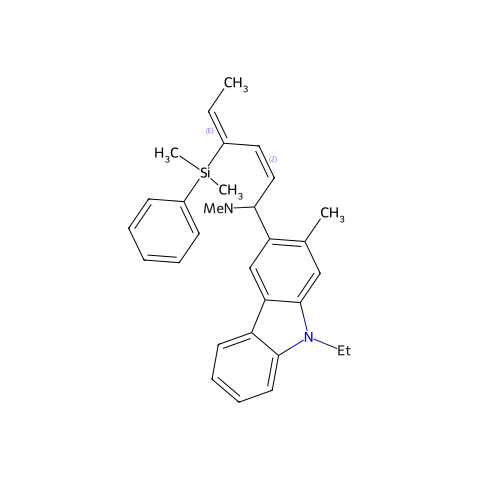 C/C=C(\C=C/C(NC)c1cc2c3ccccc3n(CC)c2cc1C)[Si](C)(C)c1ccccc1